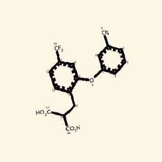 N#Cc1cccc(Oc2cc(C(F)(F)F)ccc2CC(C(=O)O)C(=O)O)c1